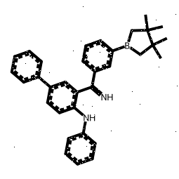 CC1(C)CB(c2cccc(C(=N)c3cc(-c4ccccc4)ccc3Nc3ccccc3)c2)CC1(C)C